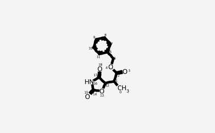 CC(C(=O)OCc1ccccc1)C1OC(=O)NC1=O